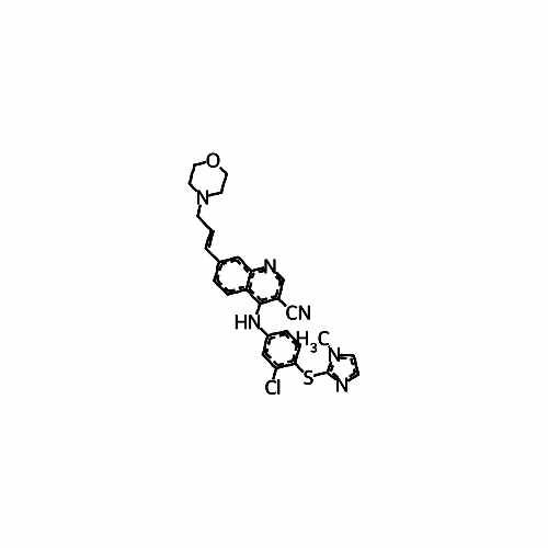 Cn1ccnc1Sc1ccc(Nc2c(C#N)cnc3cc(C=CCN4CCOCC4)ccc23)cc1Cl